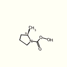 C[C@@H]1CCCN1C(=O)OO